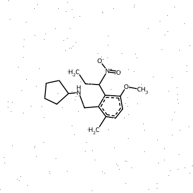 [CH2]CC(c1c(OC)ccc([CH2])c1CNC1CCCC1)[N+](=O)[O-]